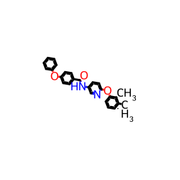 Cc1[c]ccc(Oc2ccc(NC(=O)c3ccc(Oc4ccccc4)cc3)cn2)c1C